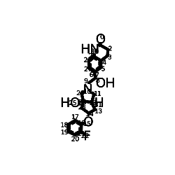 O=C1CCc2cc([C@@H](O)CN3C[C@H]4C[C@H](Oc5ccccc5F)C[C@@]4(O)C3)ccc2N1